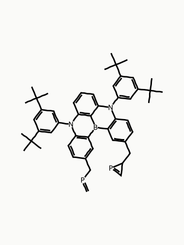 C=PCc1ccc2c(c1)B1c3cc(CC4C=P4)ccc3N(c3cc(C(C)(C)C)cc(C(C)(C)C)c3)c3cccc(c31)N2c1cc(C(C)(C)C)cc(C(C)(C)C)c1